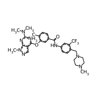 Cc1ccc(C(=O)Nc2ccc(CN3CCN(C)CC3)c(C(F)(F)F)c2)cc1Oc1nc(N(C)C)nc2c1cnn2C